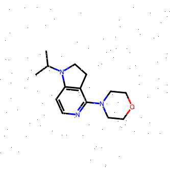 CC(C)N1CCc2c1ccnc2N1CCOCC1